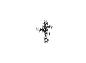 CCCn1c(-n2cccn2)nc2c(N)nc(NCCCc3ccccc3)nc21